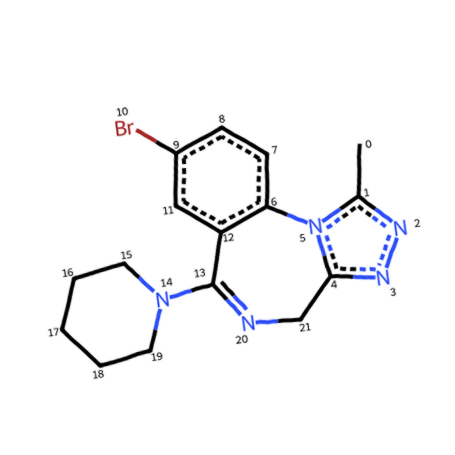 Cc1nnc2n1-c1ccc(Br)cc1C(N1CCCCC1)=NC2